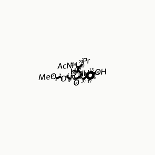 COCCOCCNC(=O)[C@H](Cc1ccc(O)cc1)NC(=O)[C@H](CC(C)C)NC(C)=O